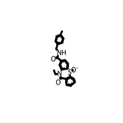 CCN1C(=O)c2ccccc2[S+]([O-])c2ccc(C(=O)NCc3ccc(C)cc3)cc21